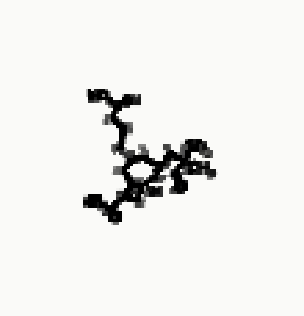 C[C@@](N)(C=O)CN1C[C@@H](CCCB(O)O)CC2C(C(=O)O)C[C@@H]2C1